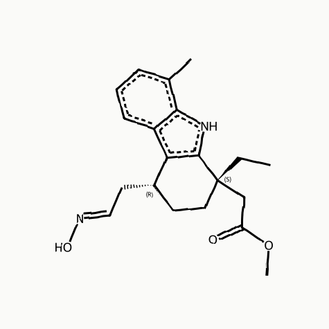 CC[C@@]1(CC(=O)OC)CC[C@H](CC=NO)c2c1[nH]c1c(C)cccc21